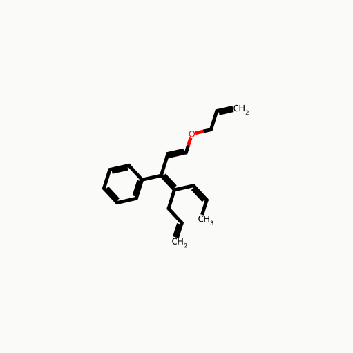 C=CCO/C=C/C(=C(\C=C/C)CC=C)c1ccccc1